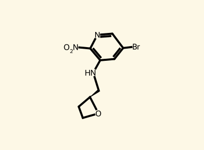 O=[N+]([O-])c1ncc(Br)cc1NC[C@@H]1CCO1